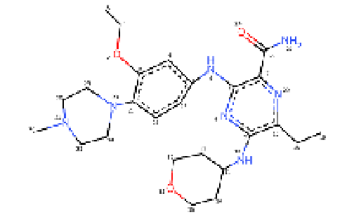 CCOc1cc(Nc2nc(NC3CCOCC3)c(CC)nc2C(N)=O)ccc1N1CCN(C)CC1